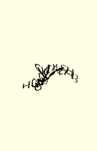 CCCCC(CC)C(CCCCCCC(C)C)OC(=O)c1ccc(C(=O)O)cc1